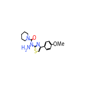 COc1ccc(-c2csc(N(N)C(=O)N3CCCCC3)n2)cc1